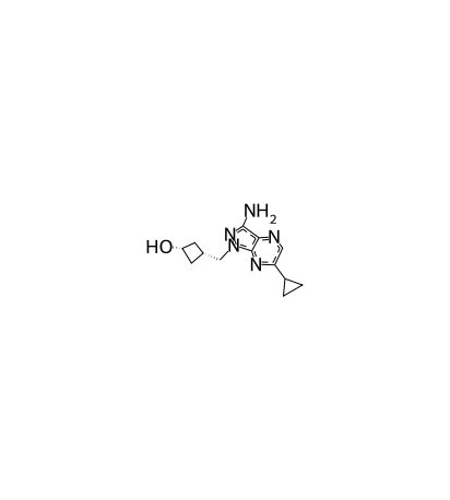 Nc1nn(C[C@H]2C[C@@H](O)C2)c2nc(C3CC3)cnc12